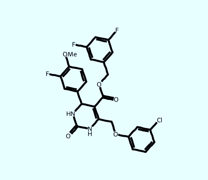 COc1ccc(C2NC(=O)NC(COc3cccc(Cl)c3)=C2C(=O)OCc2cc(F)cc(F)c2)cc1F